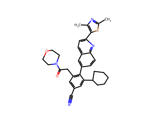 Cc1nc(C)c(-c2ccc3cc(-c4c(CC(=O)N5CCOCC5)cc(C#N)cc4C4CCCCC4)ccc3n2)s1